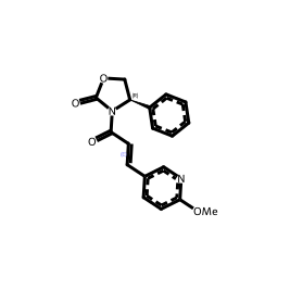 COc1ccc(/C=C/C(=O)N2C(=O)OC[C@H]2c2ccccc2)cn1